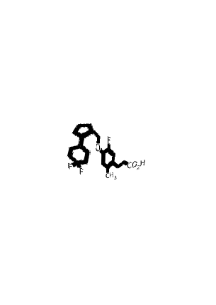 Cc1cc(OCC2=C(C3CCC(F)(F)CC3)CCC2)c(F)cc1CCC(=O)O